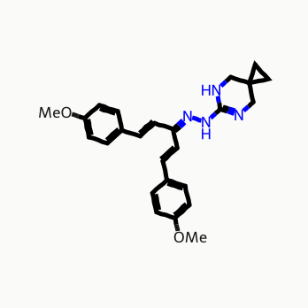 COc1ccc(/C=C/C(/C=C/c2ccc(OC)cc2)=NNC2=NCC3(CC3)CN2)cc1